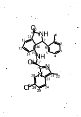 Cc1ccccc1C1NC(=O)c2cccc(NC(=O)c3nc(C)c4ccc(Cl)cn34)c21